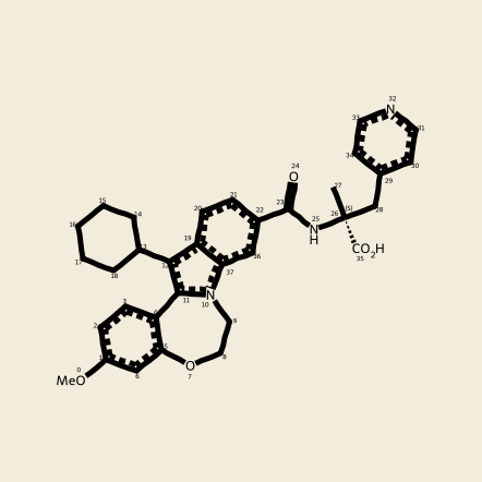 COc1ccc2c(c1)OCCn1c-2c(C2CCCCC2)c2ccc(C(=O)N[C@@](C)(Cc3ccncc3)C(=O)O)cc21